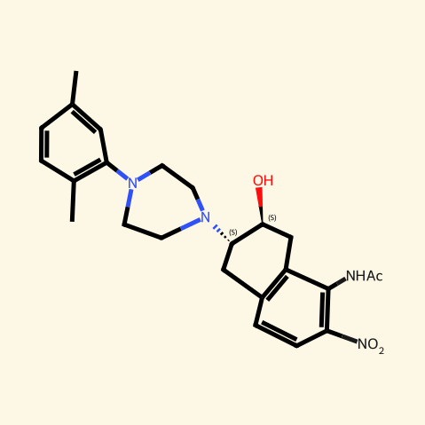 CC(=O)Nc1c([N+](=O)[O-])ccc2c1C[C@H](O)[C@@H](N1CCN(c3cc(C)ccc3C)CC1)C2